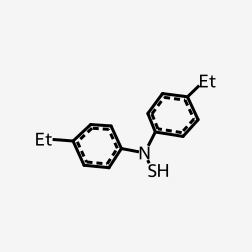 CCc1ccc(N(S)c2ccc(CC)cc2)cc1